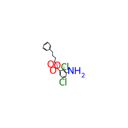 Nc1cc(Cl)cc(C(=O)OC(=O)CCCc2ccccc2)c1Cl